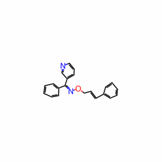 C(=Cc1ccccc1)CON=C(c1ccccc1)c1cccnc1